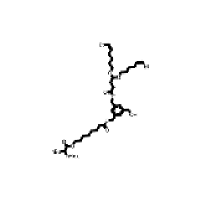 CC/C=C\CCCCOC(CCC(=O)OCc1cc(CO)cc(COC(=O)CCCCCCCOC(=O)C(CCCC)CCCCCC)c1)OCCCC/C=C\CC